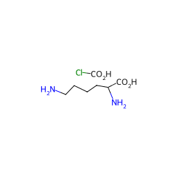 NCCCCC(N)C(=O)O.O=C(O)Cl